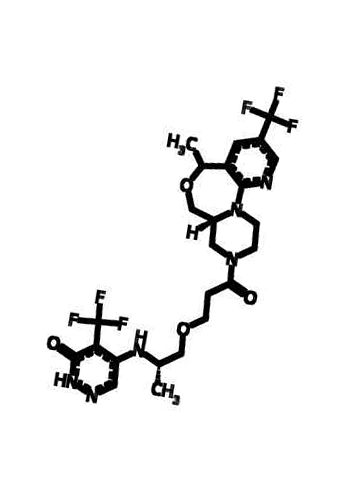 CC1OC[C@H]2CN(C(=O)CCOC[C@H](C)Nc3cn[nH]c(=O)c3C(F)(F)F)CCN2c2ncc(C(F)(F)F)cc21